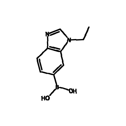 CCn1cnc2ccc(B(O)O)cc21